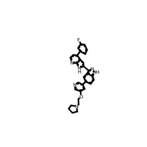 Fc1cccc(-c2ccnc3[nH]c(-c4n[nH]c5ccc(-c6cncc(OCCN7CCCC7)c6)cc45)cc23)c1